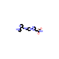 O=C1NC(=O)/C(=C/c2ccnc(N3CCC(CNCc4cccnc4-c4ccc[nH]4)CC3)n2)S1